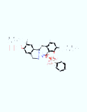 COc1cc2c(cc1O)CCN1Cc3c(ccc(OC)c3OS(=O)(=O)c3ccccc3)CC21